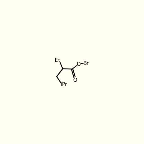 CCC(CC(C)C)C(=O)OBr